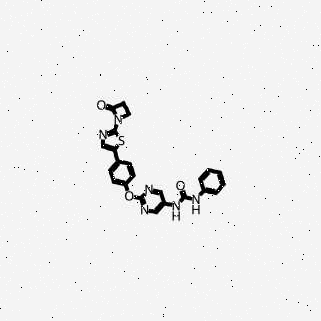 O=C(Nc1ccccc1)Nc1cnc(Oc2ccc(-c3cnc(N4CCC4=O)s3)cc2)nc1